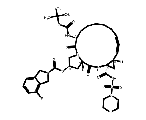 CC(C)(C)OC(=O)N[C@H]1CCCCCC=C=C[C@@H]2C[C@@]2(C(=O)NS(=O)(=O)N2CCOCC2)NC(=O)[C@@H]2C[C@@H](OC(=O)N3Cc4cccc(F)c4C3)CN2C1=O